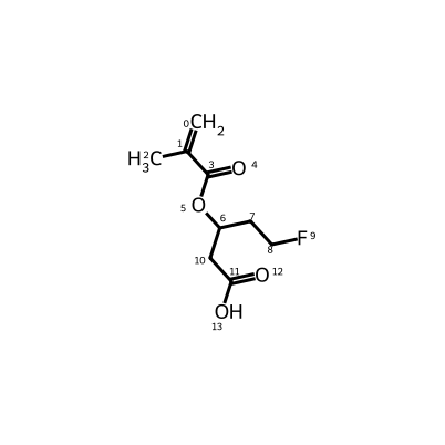 C=C(C)C(=O)OC(CCF)CC(=O)O